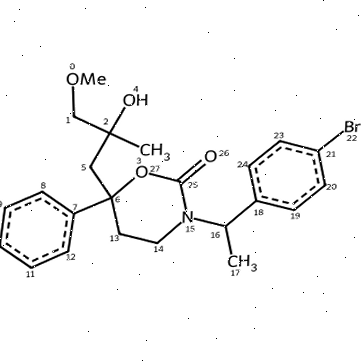 COCC(C)(O)CC1(c2ccccc2)CCN(C(C)c2ccc(Br)cc2)C(=O)O1